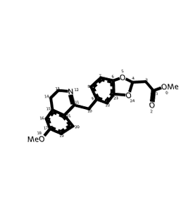 COC(=O)CC1Oc2ccc(CC3=NCCc4cc(OC)ccc43)cc2O1